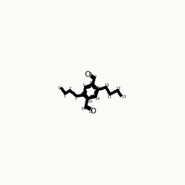 CCCCc1cc(C=O)c(CCCC)cc1C=O